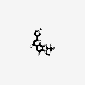 CCn1c(C(F)(F)F)nc2c3oc(C4CCN(C)C4)cc(=O)c3cc(F)c21